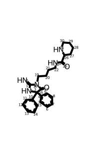 N=C1NC(c2ccccc2)(c2ccccc2)C(=O)N1CCCCNC(=O)C1CCCCN1